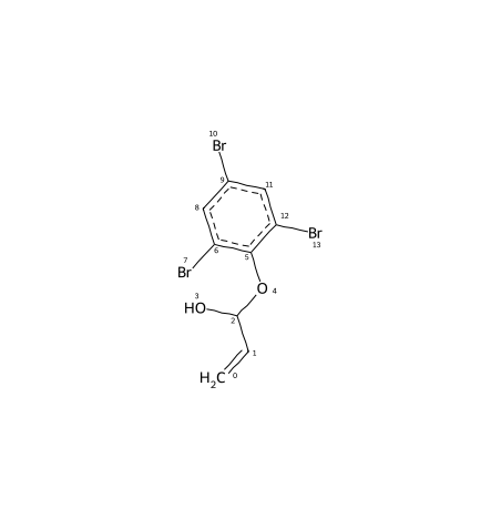 C=CC(O)Oc1c(Br)cc(Br)cc1Br